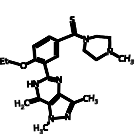 C=C1NC(c2cc(C(=S)N3CCN(C)CC3)ccc2OCC)=Nc2c(C)nn(C)c21